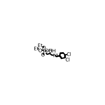 CCOC(OCC)P(=O)(O)C[C@@H](O)CNCc1ccc(Cl)c(Cl)c1